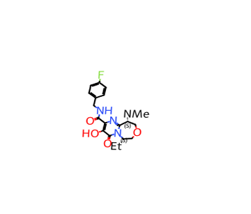 CC[C@H]1COC[C@@H](NC)c2nc(C(=O)NCc3ccc(F)cc3)c(O)c(=O)n21